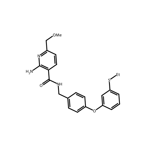 CCSc1cccc(Oc2ccc(CNC(=O)c3ccc(COC)nc3N)cc2)c1